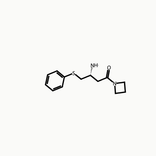 [NH][C@@H](CSc1ccccc1)CC(=O)N1CCC1